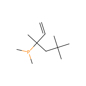 C=CC(C)(CC(C)(C)C)P(C)C